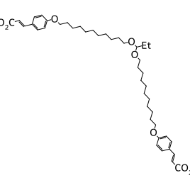 CCOC(=O)/C=C/c1ccc(OCCCCCCCCCCCOC(CC)OCCCCCCCCCCCOc2ccc(/C=C/C(=O)OCC)cc2)cc1